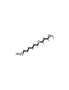 CCCCCCCCCCCCOCCCN